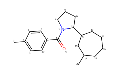 Cc1ccc(C(=O)N2CCCC2C2CCCCC(C)C2)cc1